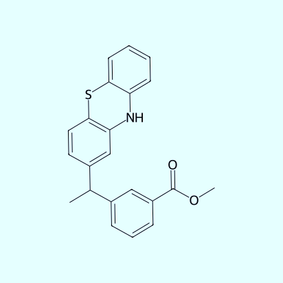 COC(=O)c1cccc(C(C)c2ccc3c(c2)Nc2ccccc2S3)c1